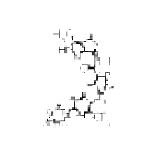 Cc1[nH]nc2c1CC[C@H]2NC(=O)c1cnn(Cc2ccc(N3CC4CC4C3)nc2C(F)(F)F)c1